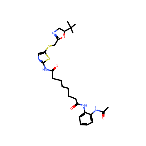 CC(=O)Nc1ccccc1NC(=O)CCCCCCC(=O)Nc1ncc(SCC2=NCC(C(C)(C)C)O2)s1